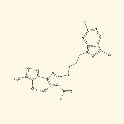 Cc1c(-n2nc(OCCCn3nc(Cl)c4cnc(Cl)nc43)c([N+](=O)[O-])c2C)cnn1C